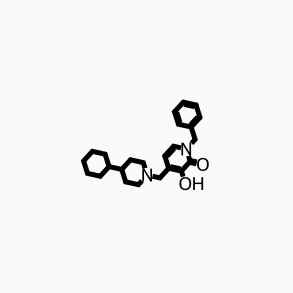 O=c1c(O)c(CN2CCC(C3CCCCC3)CC2)ccn1Cc1ccccc1